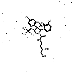 CC(C)(C)C[C@@H]1CN(C(=O)NCC[C@H](O)CO)[C@H](c2cccc(Cl)c2F)[C@]12C(=O)Nc1cc(Cl)ccc12